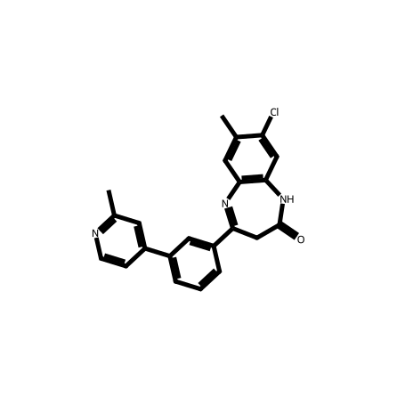 Cc1cc(-c2cccc(C3=Nc4cc(C)c(Cl)cc4NC(=O)C3)c2)ccn1